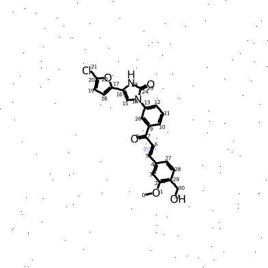 COc1cc(/C=C/C(=O)c2cccc(-n3cc(-c4ccc(Cl)o4)[nH]c3=O)c2)ccc1CO